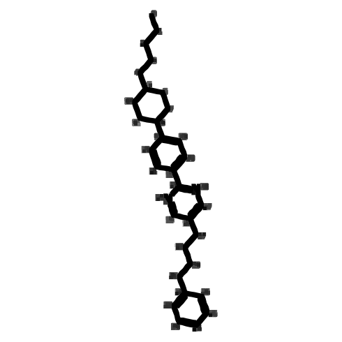 CCCCCC1CCC(c2ccc(-c3ncc(CCCCc4ccccc4)cn3)cc2)CC1